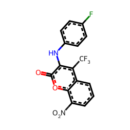 O=c1oc2c([N+](=O)[O-])cccc2c(C(F)(F)F)c1Nc1ccc(F)cc1